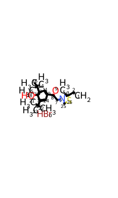 Br.C=CC1=C(C)N(CC(=O)c2cc(C(C)(C)C)c(O)c(C(C)(C)C)c2)CS1